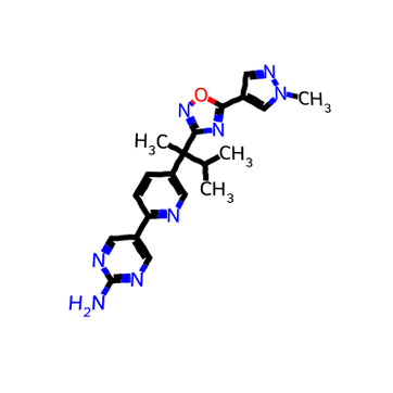 CC(C)C(C)(c1ccc(-c2cnc(N)nc2)nc1)c1noc(-c2cnn(C)c2)n1